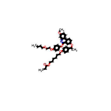 C=C(Oc1ccc2c(c1)c(Oc1ccc(OCCOCCCC)cc1)nc1cc(OC)ccc12)c1ccc(OCCCCCCOC(=O)CC)cc1